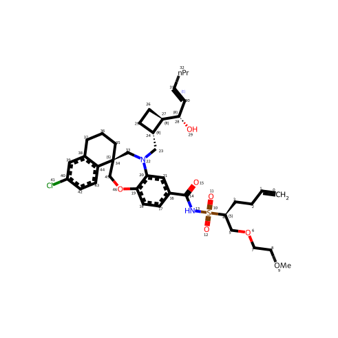 C=CCC[C@@H](COCCOC)S(=O)(=O)NC(=O)c1ccc2c(c1)N(C[C@@H]1CC[C@H]1[C@@H](O)/C=C/CCC)C[C@@]1(CCCc3cc(Cl)ccc31)CO2